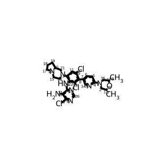 C[C@@H]1CN(c2ccc(-c3c(Cl)cc(N4CCN5CCCC5C4)c(Nc4ncnc(Cl)c4N)c3Cl)cn2)C[C@H](C)O1